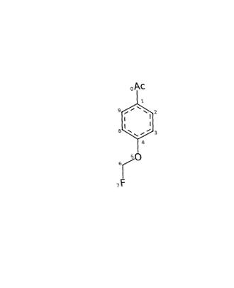 CC(=O)c1ccc(OCF)cc1